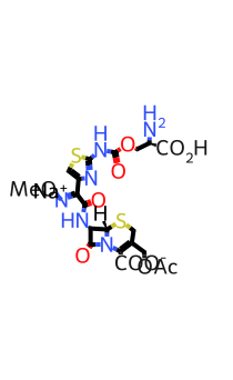 CON=C(C(=O)N[C@@H]1C(=O)N2C(C(=O)[O-])=C(COC(C)=O)CS[C@@H]12)c1csc(NC(=O)OC[C@@H](N)C(=O)O)n1.[Na+]